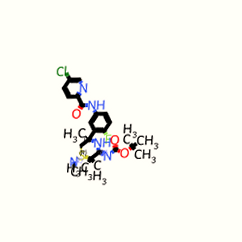 C/N=[S@]1/C[C@@](C)(c2cc(NC(=O)c3ccc(Cl)cn3)ccc2F)N/C(=N\C(=O)OC(C)(C)C)C1(C)C